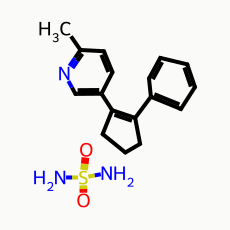 Cc1ccc(C2=C(c3ccccc3)CCC2)cn1.NS(N)(=O)=O